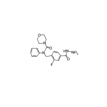 NNC(=O)c1ccc(CN(C(=O)N2CCOCC2)c2ccccc2)c(F)c1